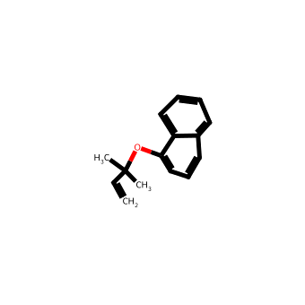 C=CC(C)(C)Oc1cccc2ccccc12